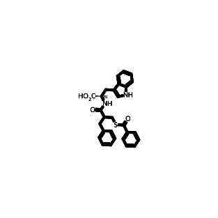 O=C(SCC(Cc1ccccc1)C(=O)N[C@@H](Cc1c[nH]c2ccccc12)C(=O)O)c1ccccc1